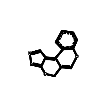 C1=NN=C2OCC3=COc4ccccc4C3=C12